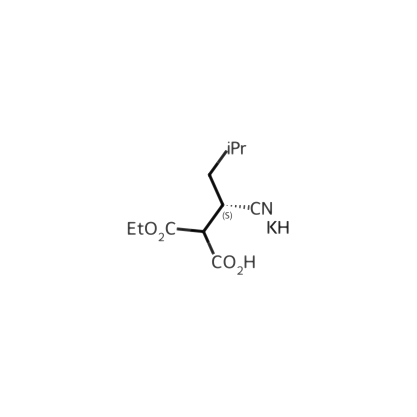 CCOC(=O)C(C(=O)O)[C@@H](C#N)CC(C)C.[KH]